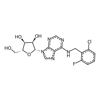 OC[C@H]1O[C@@H](n2cnc3c(NCc4c(F)cccc4Cl)ncnc32)[C@H](O)[C@@H]1O